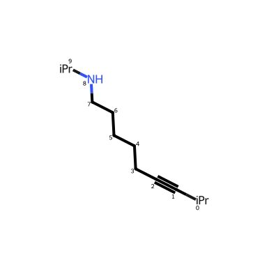 CC(C)C#CCCCCCNC(C)C